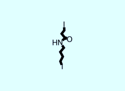 O=C(CCI)NCCCCI